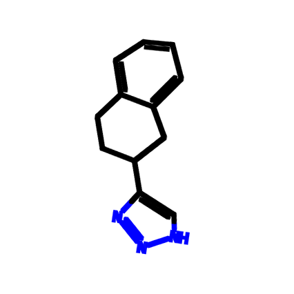 c1ccc2c(c1)CCC(c1c[nH]nn1)C2